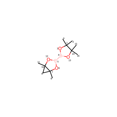 CC1(C)OB(B2OC3(C)CC3(C)O2)OC1(C)C